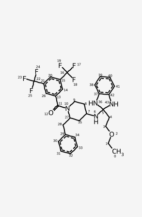 CCOCCC1(NC2CCN(C(=O)c3cc(C(F)(F)F)cc(C(F)(F)F)c3)C(Cc3ccccc3)C2)Nc2ccccc2N1